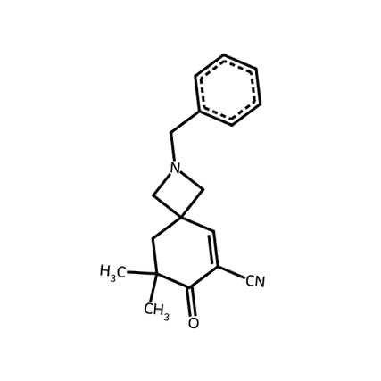 CC1(C)CC2(C=C(C#N)C1=O)CN(Cc1ccccc1)C2